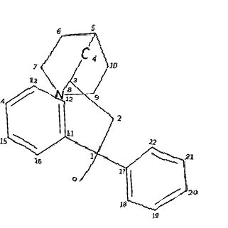 CC(CC1CC2CCN1CC2)(c1ccccc1)c1ccccc1